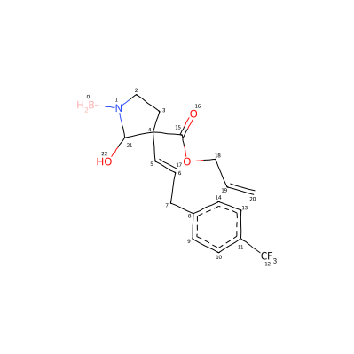 BN1CCC(C=CCc2ccc(C(F)(F)F)cc2)(C(=O)OCC=C)C1O